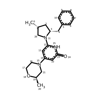 C[C@@H]1C[C@H](Cc2ccccc2)N(c2cc(N3CCO[C@H](C)C3)cc(=O)[nH]2)C1